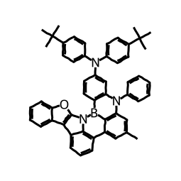 Cc1cc2c3c(c1)N(c1ccccc1)c1cc(N(c4ccc(C(C)(C)C)cc4)c4ccc(C(C)(C)C)cc4)ccc1B3n1c3oc4ccccc4c3c3cccc-2c31